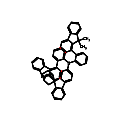 CC1(C)c2ccccc2-c2cccc(-c3ccccc3N(c3ccc4c(c3)C3(CC5CCC3C5)c3ccccc3-4)c3ccccc3-c3cccc4oc5ccccc5c34)c21